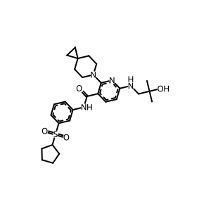 CC(C)(O)CNc1ccc(C(=O)Nc2cccc(S(=O)(=O)C3CCCC3)c2)c(N2CCC3(CC2)CC3)n1